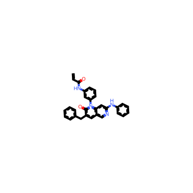 C=CC(=O)Nc1cccc(-n2c(=O)c(Cc3ccccc3)cc3cnc(Nc4ccccc4)cc32)c1